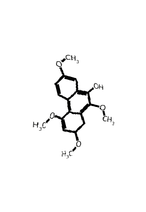 COC1=CC(OC)Cc2c(OC)c(O)c3cc(OC)ccc3c21